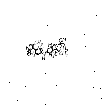 Cc1cnn(C)c1-c1ccc(N[C@H]2C[C@H]3CN(C(=O)O)C(C(C)(C)C)[C@H]3C2)nn1